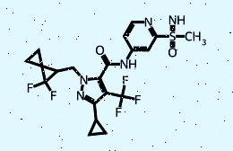 CS(=N)(=O)c1cc(NC(=O)c2c(C(F)(F)F)c(C3CC3)nn2CC2C(F)(F)C23CC3)ccn1